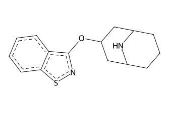 c1ccc2c(OC3CC4CCCC(C3)N4)nsc2c1